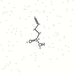 C=CC[CH]S(=O)O